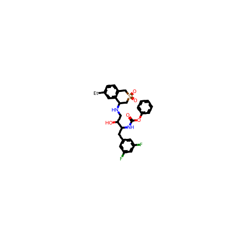 CCc1ccc2c(c1)C(NCC(O)C(Cc1cc(F)cc(F)c1)NC(=O)Oc1ccccc1)CS(=O)(=O)C2